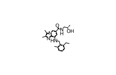 CCc1cccc(C)c1CNc1cc(C(=O)NC[C@@H](C)O)cn2c(C)c(C)nc12